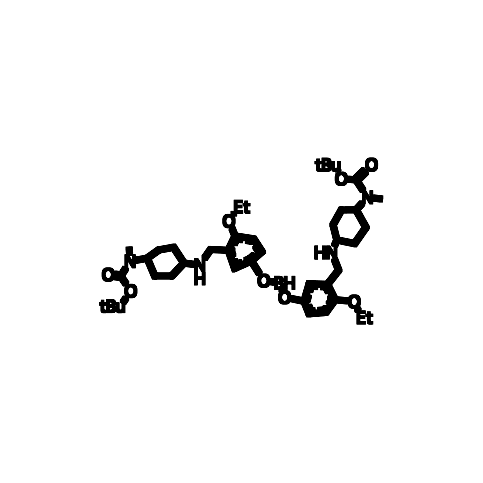 CCOc1ccc(OBOc2ccc(OCC)c(CNC3CCC(N(C)C(=O)OC(C)(C)C)CC3)c2)cc1CNC1CCC(N(C)C(=O)OC(C)(C)C)CC1